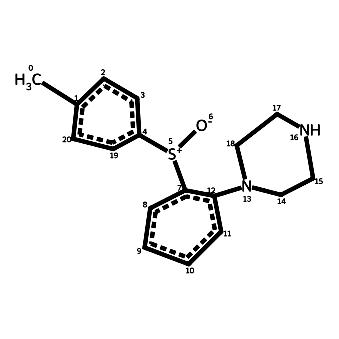 Cc1ccc([S+]([O-])c2ccccc2N2CCNCC2)cc1